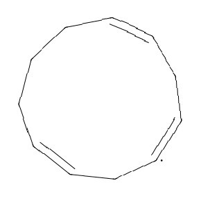 [C]1=CCC=CCCCC=CC1